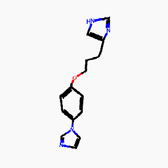 c1cn(-c2ccc(OCCCc3c[nH]cn3)cc2)cn1